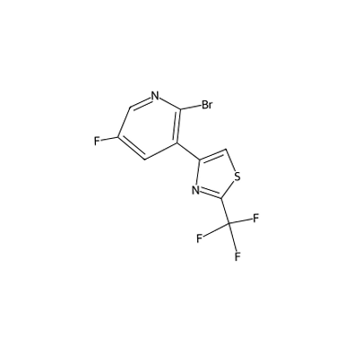 Fc1cnc(Br)c(-c2csc(C(F)(F)F)n2)c1